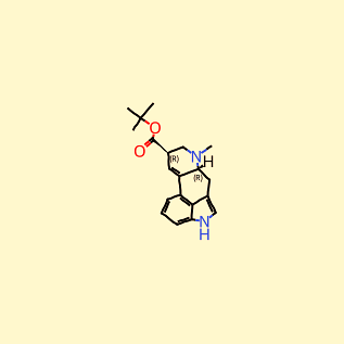 CN1C[C@H](C(=O)OC(C)(C)C)C=C2c3cccc4[nH]cc(c34)C[C@H]21